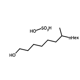 CCCCCCC(C)CCCCCCO.O=S(=O)(O)O